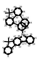 CC1(C)c2ccccc2-c2cc3c4ccccc4n(-c4cccc(-c5cccc6c5-c5c(-c7ccccc7)cccc5C6(C)C)c4)c3cc21